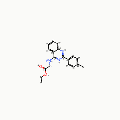 CCOC(=O)CNc1nc(-c2ccc(C)cc2)nc2ccccc12